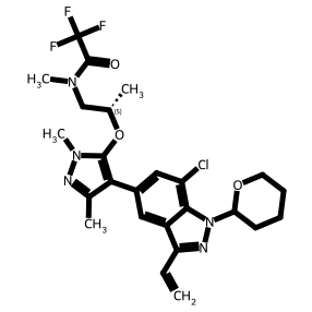 C=Cc1nn(C2CCCCO2)c2c(Cl)cc(-c3c(C)nn(C)c3O[C@@H](C)CN(C)C(=O)C(F)(F)F)cc12